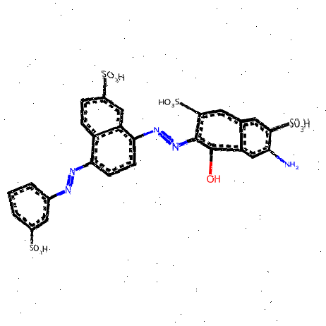 Nc1cc2c(O)c(N=Nc3ccc(N=Nc4cccc(S(=O)(=O)O)c4)c4ccc(S(=O)(=O)O)cc34)c(S(=O)(=O)O)cc2cc1S(=O)(=O)O